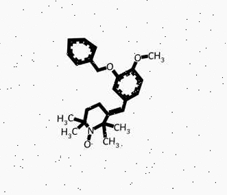 COc1ccc(C=C2CCC(C)(C)N([O])C2(C)C)cc1OCc1ccccc1